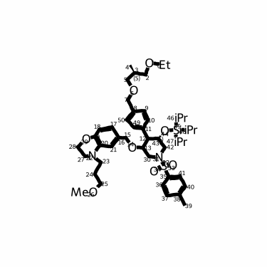 CCOC[C@H](C)COCc1ccc(C2C(OCc3ccc4c(c3)N(CCCOC)CCO4)CN(S(=O)(=O)c3ccc(C)cc3)C[C@H]2O[Si](C(C)C)(C(C)C)C(C)C)cc1